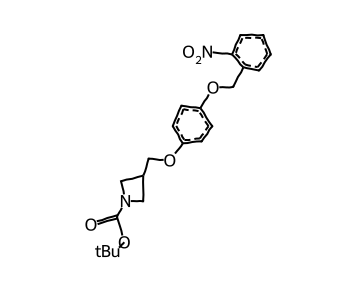 CC(C)(C)OC(=O)N1CC(COc2ccc(OCc3ccccc3[N+](=O)[O-])cc2)C1